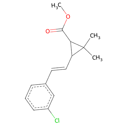 COC(=O)C1C(C=Cc2cccc(Cl)c2)C1(C)C